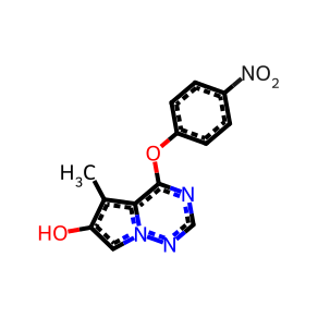 Cc1c(O)cn2ncnc(Oc3ccc([N+](=O)[O-])cc3)c12